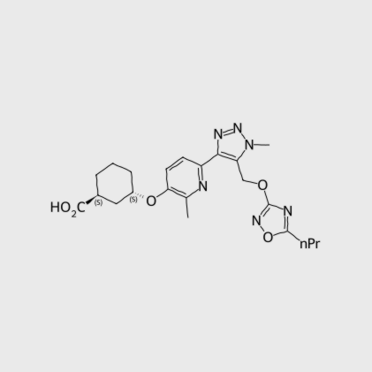 CCCc1nc(OCc2c(-c3ccc(O[C@H]4CCC[C@H](C(=O)O)C4)c(C)n3)nnn2C)no1